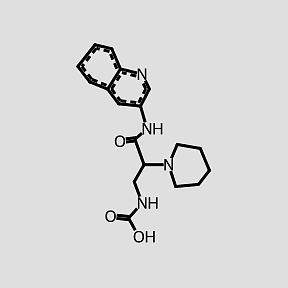 O=C(O)NCC(C(=O)Nc1cnc2ccccc2c1)N1CCCCC1